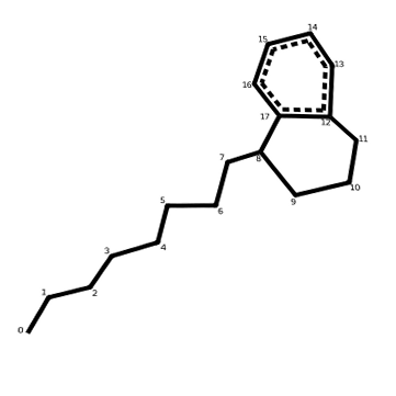 CCCCCCCCC1CCCc2ccccc21